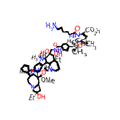 CC[C@]1(O)CC2CN(CCc3c([nH]c4ccccc34)[C@@](C(=O)OC)(c3cc4c(cc3OC)N(C)[C@H]3[C@@](O)(CNC(=O)c5ccc([Si](C)(C)O[Si](C)(C)CC(NC(=O)CCCCCN)C(=O)O)cc5)[C@H](O)[C@]5(CC)C=CCN6CC[C@]43[C@H]65)C2)C1